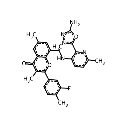 Cc1cc(C(C)Nc2ccc(C)nc2-c2nnc(N)o2)c2oc(-c3ccc(C)c(F)c3)c(C)c(=O)c2c1